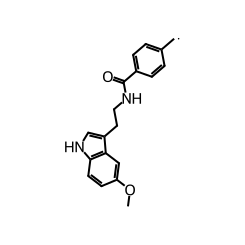 [CH2]c1ccc(C(=O)NCCc2c[nH]c3ccc(OC)cc23)cc1